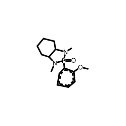 COc1ccccc1P1(=O)N(C)C2CCCCC2N1C